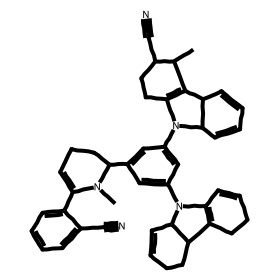 CC1C2=C(CCC1C#N)N(c1cc(C3CCC=C(c4ccccc4C#N)N3C)cc(N3C4=C(CCC=C4)C4CCC=CC43)c1)C1C=CC=CC21